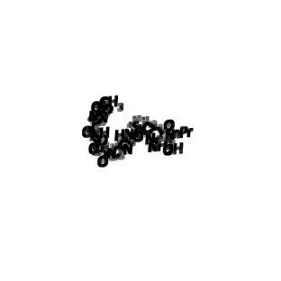 CCCN(CCO)C(=O)C1=Cc2ccc(C3(C(=O)Nc4cnc5c(c4)CN(C(=O)C4COC(CNC(=O)c6cnc(S(C)(=O)=O)nc6)OC4)CC5)CC3)cc2N=C(N)C1